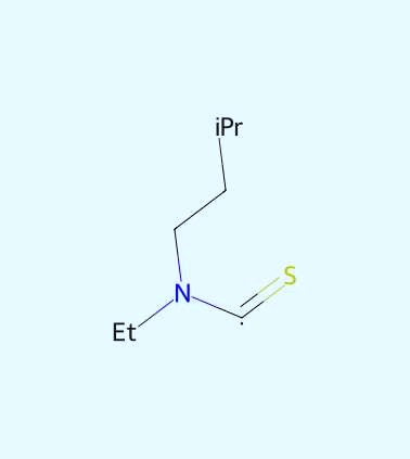 CCN([C]=S)CCC(C)C